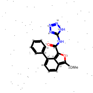 COc1oc(C(=O)Nc2nnn[nH]2)c2c(-c3ccccc3)cccc12